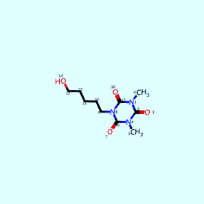 Cn1c(=O)n(C)c(=O)n(CCCCCO)c1=O